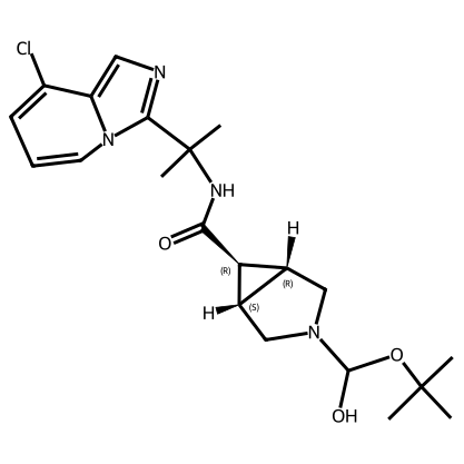 CC(C)(C)OC(O)N1C[C@@H]2[C@H](C1)[C@H]2C(=O)NC(C)(C)c1ncc2c(Cl)cccn12